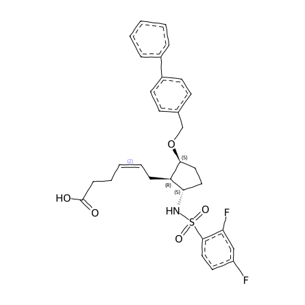 O=C(O)CC/C=C\C[C@@H]1[C@@H](NS(=O)(=O)c2ccc(F)cc2F)CC[C@@H]1OCc1ccc(-c2ccccc2)cc1